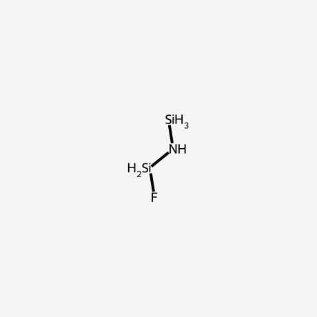 F[SiH2]N[SiH3]